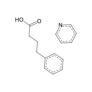 O=C(O)CCCc1ccccc1.c1ccncc1